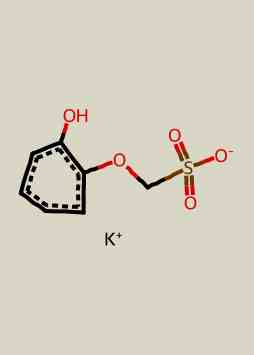 O=S(=O)([O-])COc1ccccc1O.[K+]